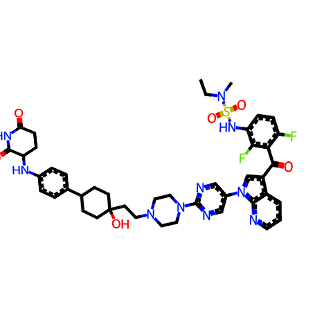 CCN(C)S(=O)(=O)Nc1ccc(F)c(C(=O)c2cn(-c3cnc(N4CCN(CCC5(O)CCC(c6ccc(NC7CCC(=O)NC7=O)cc6)CC5)CC4)nc3)c3ncccc23)c1F